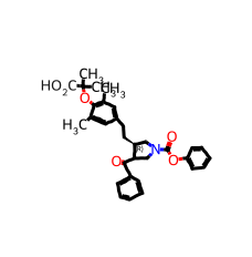 Cc1cc(CC[C@H]2CN(C(=O)Oc3ccccc3)CC2C(=O)c2ccccc2)cc(C)c1OC(C)(C)C(=O)O